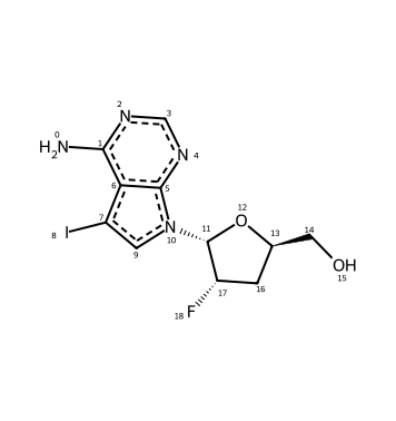 Nc1ncnc2c1c(I)cn2[C@@H]1O[C@@H](CO)C[C@@H]1F